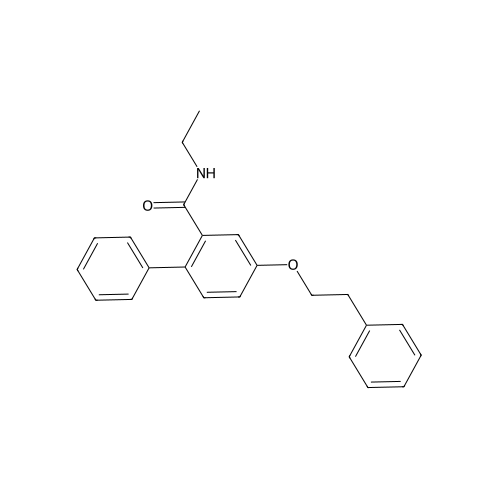 CCNC(=O)c1cc(OCCc2ccccc2)ccc1-c1ccccc1